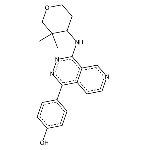 CC1(C)COCCC1Nc1nnc(-c2ccc(O)cc2)c2ccncc12